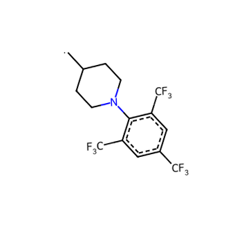 [CH2]C1CCN(c2c(C(F)(F)F)cc(C(F)(F)F)cc2C(F)(F)F)CC1